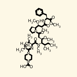 CC[C@H](C)[C@@H]([C@@H](CC(=O)N1CCC[C@H]1[C@H](OC)[C@@H](C)C(=O)N[C@@H](Cc1ccccc1)C(=O)OC)OC)N(C)C(=O)[C@@H](/N=C(\N(C)C)N1CCN(C(=O)O)CC1)C(C)C